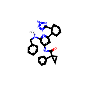 CCCN(Cc1ccccc1)c1cc(NC(=O)C2(c3ccccc3)CC2)cc(-c2ccccc2-c2nn[nH]n2)n1